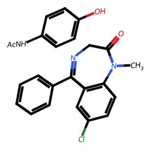 CC(=O)Nc1ccc(O)cc1.CN1C(=O)CN=C(c2ccccc2)c2cc(Cl)ccc21